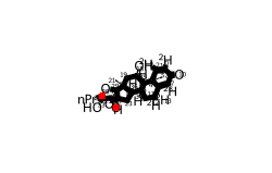 [2H]C1=C([2H])[C@@]2(C)C(=C([2H])C1=O)C([2H])([2H])C[C@@H]1[C@@H]2[C@@H](O)C[C@@]2(C)[C@H]1C[C@H]1OC(CCC)O[C@]12C(=O)CO